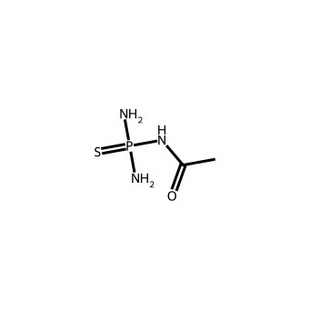 CC(=O)NP(N)(N)=S